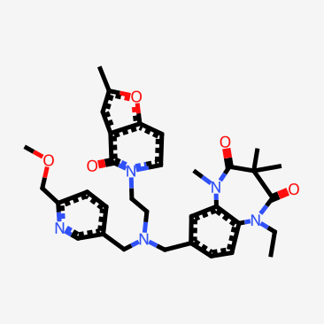 CCN1C(=O)C(C)(C)C(=O)N(C)c2cc(CN(CCn3ccc4oc(C)cc4c3=O)Cc3ccc(COC)nc3)ccc21